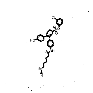 N#C[Se]CCCCCC(=O)Nc1ccc(C2=C(c3ccc(O)cc3)C3CC(S(=O)(=O)Oc4cccc(Cl)c4)C2O3)cc1